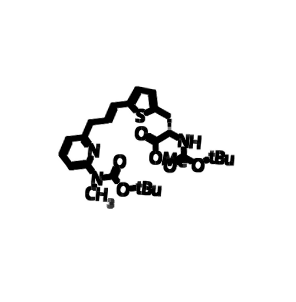 COC(=O)[C@H](Cc1ccc(/C=C/Cc2cccc(N(C)C(=O)OC(C)(C)C)n2)s1)NC(=O)OC(C)(C)C